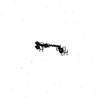 CN(CCCCCCCCCN1CCC(OC(=O)Nc2ccccc2-c2ccccc2)CC1)C(=O)c1ccc(O)c(Cl)c1